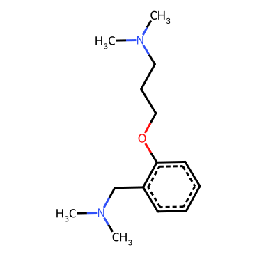 CN(C)CCCOc1ccccc1CN(C)C